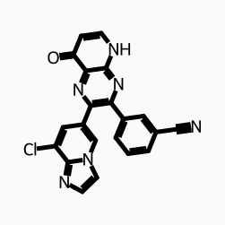 N#Cc1cccc(-c2nc3[nH]ccc(=O)c3nc2-c2cc(Cl)c3nccn3c2)c1